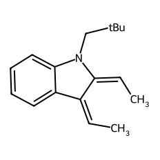 C/C=c1\c(=C/C)n(CC(C)(C)C)c2ccccc12